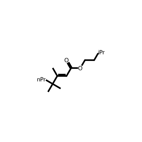 CCCC(C)(C)/C(C)=C/C(=O)OCCC(C)C